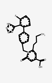 CCCCc1cc(C(=O)O)cc(=O)n1Cc1ccc(-c2cccc(F)c2-c2nnn[nH]2)cc1